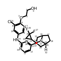 OCCOc1ncc(Nc2nccc(N3CC4CC[C@H](C3)N4CC3CC3(F)F)n2)cc1Cl